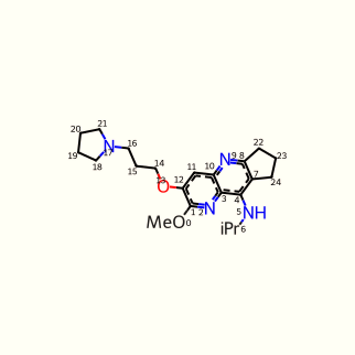 COc1nc2c(NC(C)C)c3c(nc2cc1OCCCN1CCCC1)CCC3